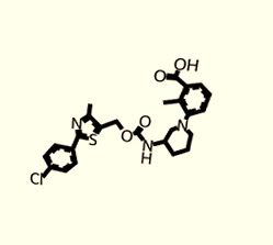 Cc1nc(-c2ccc(Cl)cc2)sc1COC(=O)NC1CCCN(c2cccc(C(=O)O)c2C)C1